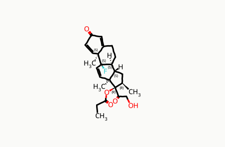 CCC(=O)O[C@]1(C(=O)CO)[C@H](C)C[C@H]2[C@@H]3CCC4=CC(=O)C=C[C@]4(C)[C@@]3(F)C=C[C@@]21C